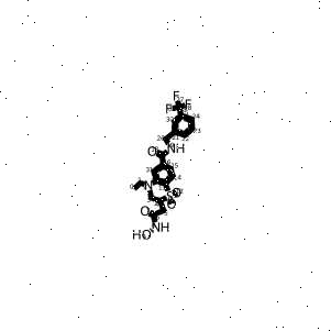 CCN1CC(CC(=O)NO)S(=O)(=O)c2ccc(C(=O)NCc3cccc(C(F)(F)F)c3)cc21